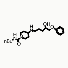 CCCCNC(=O)N1CCC(NCCCC(O)COc2ccccc2)CC1